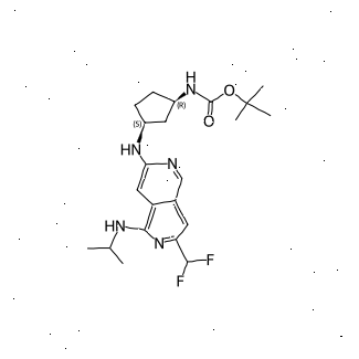 CC(C)Nc1nc(C(F)F)cc2cnc(N[C@H]3CC[C@@H](NC(=O)OC(C)(C)C)C3)cc12